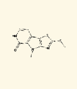 CSc1nc2c(s1)c1cn[nH]c(=O)c1n2C